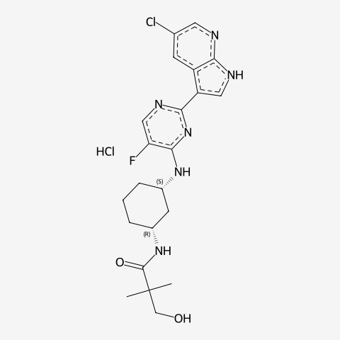 CC(C)(CO)C(=O)N[C@@H]1CCC[C@H](Nc2nc(-c3c[nH]c4ncc(Cl)cc34)ncc2F)C1.Cl